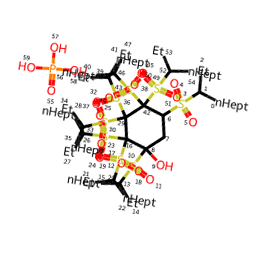 CCCCCCCC(CC)S(=O)(=O)C1CC(O)(S(=O)(=O)C(CC)CCCCCCC)C(S(=O)(=O)C(CC)CCCCCCC)(S(=O)(=O)C(CC)CCCCCCC)C(S(=O)(=O)C(CC)CCCCCCC)(S(=O)(=O)C(CC)CCCCCCC)C1(S(=O)(=O)C(CC)CCCCCCC)S(=O)(=O)C(CC)CCCCCCC.O=P(O)(O)O